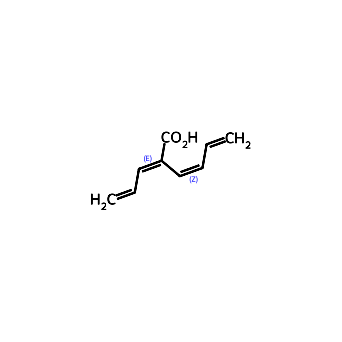 C=C/C=C\C(=C/C=C)C(=O)O